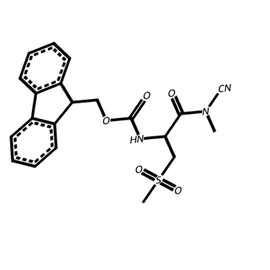 CN(C#N)C(=O)C(CS(C)(=O)=O)NC(=O)OCC1c2ccccc2-c2ccccc21